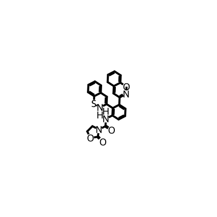 O=C(Nc1cccc(C2=NOC3=CC=CCC3=C2)c1C1=Cc2ccccc2SN1)N1CCOC1=O